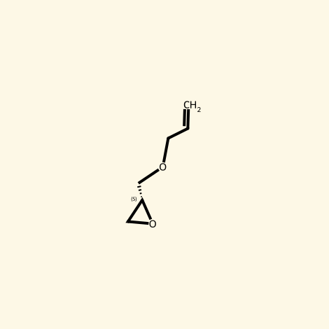 C=CCOC[C@H]1CO1